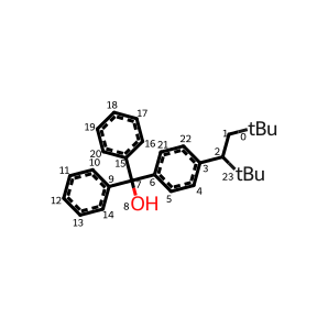 CC(C)(C)CC(c1ccc(C(O)(c2ccccc2)c2ccccc2)cc1)C(C)(C)C